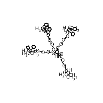 CC(C)(C)OC(=O)NCCOCCOCCNC(=O)c1cc(OCCOCCOCCOCCO[Si](c2ccccc2)(c2ccccc2)C(C)(C)C)c(OCCOCCOCCOCCO[Si](c2ccccc2)(c2ccccc2)C(C)(C)C)c(OCCOCCOCCOCCO[Si](c2ccccc2)(c2ccccc2)C(C)(C)C)c1